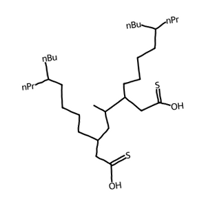 CCCCC(CCC)CCCCC(CC(O)=S)CC(C)C(CCCCC(CCC)CCCC)CC(O)=S